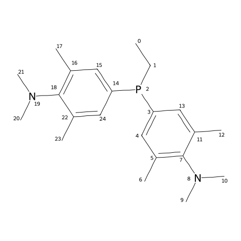 CCP(c1cc(C)c(N(C)C)c(C)c1)c1cc(C)c(N(C)C)c(C)c1